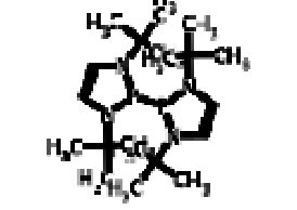 CC(C)(C)N1C=CN(C(C)(C)C)P1P1N(C(C)(C)C)C=CN1C(C)(C)C